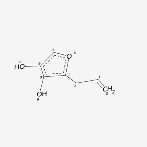 C=CCc1occ(O)c1O